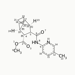 COC(=O)[C@H]1C(C(=O)Nc2ccc(C)cn2)[C@@H]2C=C[C@H]1C21CC1